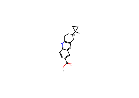 COC(=O)c1ccc2nc3c(cc2c1)C[C@H](C1(C)CC1)CC3